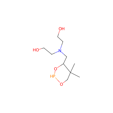 CC1(C)COPOC1CN(CCO)CCO